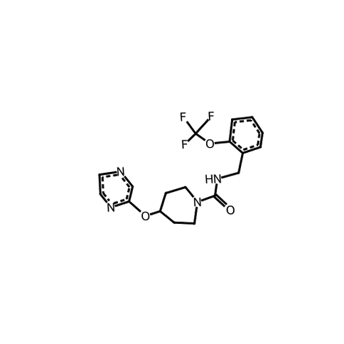 O=C(NCc1ccccc1OC(F)(F)F)N1CCC(Oc2cnccn2)CC1